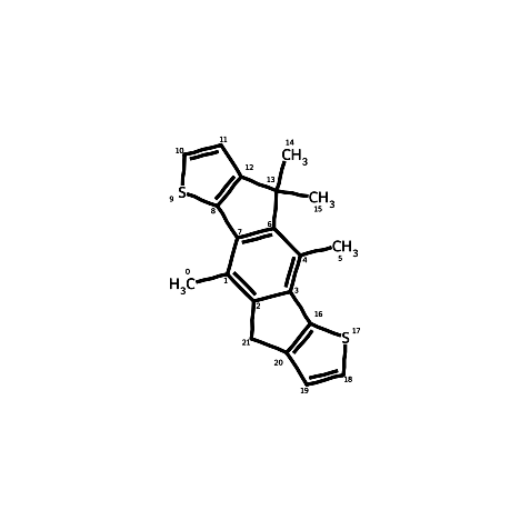 Cc1c2c(c(C)c3c1-c1sccc1C3(C)C)-c1sccc1C2